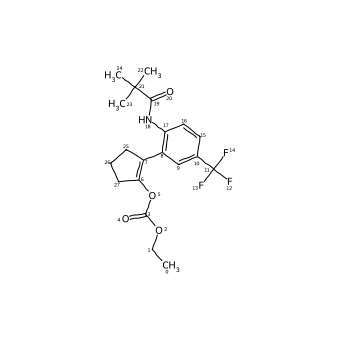 CCOC(=O)OC1=C(c2cc(C(F)(F)F)ccc2NC(=O)C(C)(C)C)CCC1